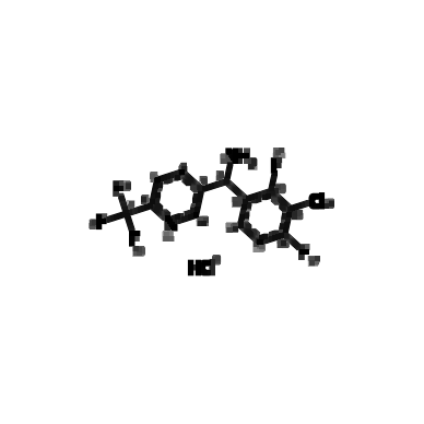 Cl.NC(c1ccc(C(F)(F)F)nc1)c1ccc(F)c(Cl)c1F